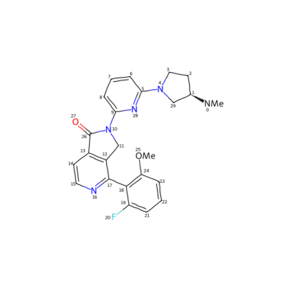 CN[C@@H]1CCN(c2cccc(N3Cc4c(ccnc4-c4c(F)cccc4OC)C3=O)n2)C1